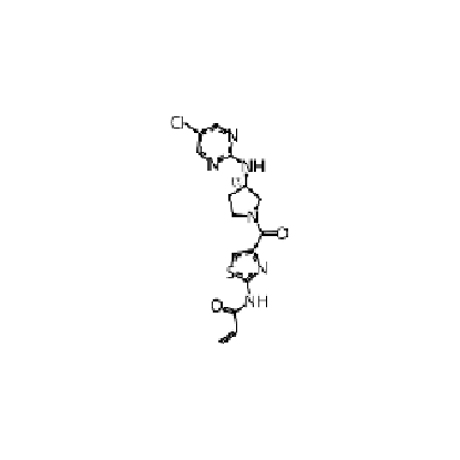 C=CC(=O)Nc1nc(C(=O)N2CC[C@@H](Nc3ncc(Cl)cn3)C2)cs1